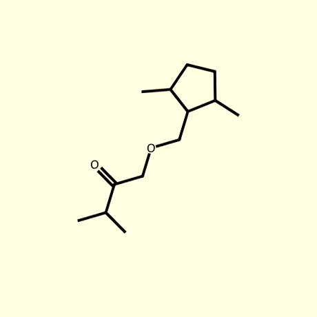 CC(C)C(=O)COCC1C(C)CCC1C